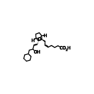 O=C(O)CCC/C=C\C[C@H]1[C@H](/C=C/C(O)CC2CCCCC2)[C@@H]2CC[C@H]1O2